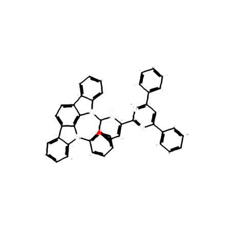 C1=CC(n2c3ccccc3c3ccc4c5ccccc5n(-c5ccccc5)c4c32)NC(c2nc(-c3ccccc3)cc(-c3ccccc3)n2)=C1